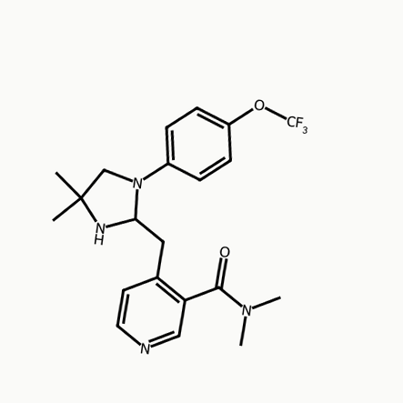 CN(C)C(=O)c1cnccc1CC1NC(C)(C)CN1c1ccc(OC(F)(F)F)cc1